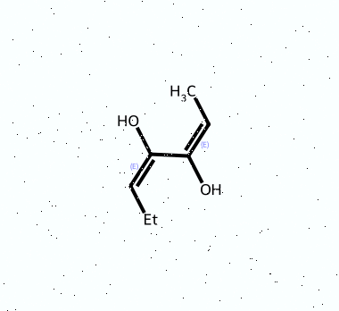 C/C=C(O)\C(O)=C/CC